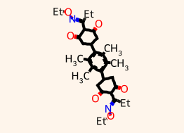 CCON=C(CC)C1C(=O)CC(c2c(C)c(C)c(C3CC(=O)C(C(CC)=NOCC)C(=O)C3)c(C)c2C)CC1=O